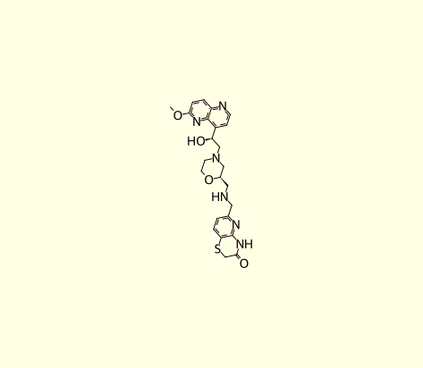 COc1ccc2nccc([C@H](O)CN3CCO[C@H](CNCc4ccc5c(n4)NC(=O)CS5)C3)c2n1